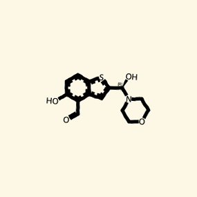 O=Cc1c(O)ccc2sc([C@@H](O)N3CCOCC3)cc12